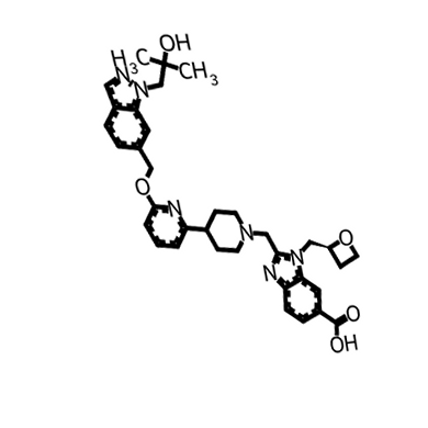 CC(C)(O)Cn1ncc2ccc(COc3cccc(C4CCN(Cc5nc6ccc(C(=O)O)cc6n5C[C@@H]5CCO5)CC4)n3)cc21